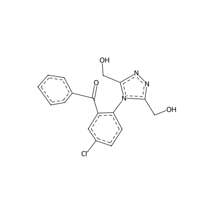 O=C(c1ccccc1)c1cc(Cl)ccc1-n1c(CO)nnc1CO